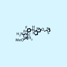 COC[C@]12C[C@H]1[C@](C)(c1cc(Nc3nccc4cc(OCc5nccs5)cnc34)cc(F)c1F)N=C(N)S2